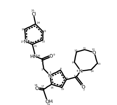 O=C(Cn1cc(C(=O)N2CCCOCC2)cc1C(=O)O)Nc1ccc(Cl)cn1